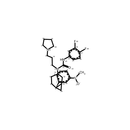 C[S+]([O-])c1cccc([C@@]23CCC(N(CCCN4CCCC4)C(=O)Nc4ccc(F)c(F)c4)CC2C3)c1